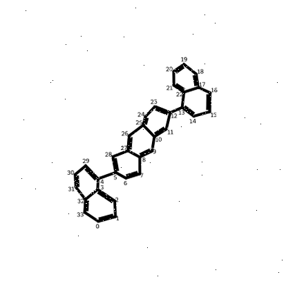 c1ccc2c(-c3ccc4cc5cc(-c6cccc7ccccc67)ccc5cc4c3)cccc2c1